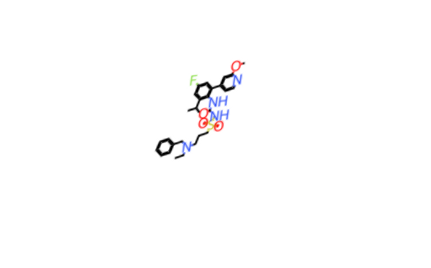 CCN(CCCS(=O)(=O)NC(=O)Nc1c(-c2ccnc(OC)c2)cc(F)cc1C(C)C)Cc1ccccc1